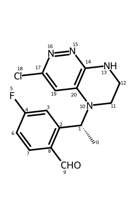 C[C@H](c1cc(F)ccc1C=O)N1CCNc2nnc(Cl)cc21